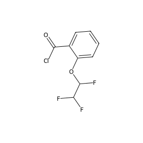 O=C(Cl)c1ccccc1OC(F)C(F)F